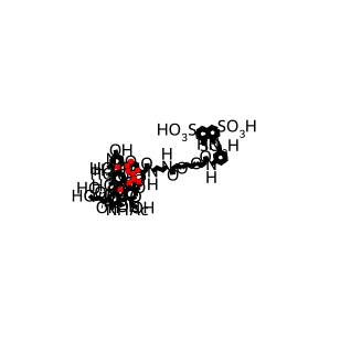 CC(=O)NC1C(O)CC(OC2C(O)C(CO)OC(OC3CC(C(=O)NCCNC(=O)COCCOCC(=O)Nc4cccc(CNc5cc(S(=O)(=O)O)cc6cc(S(=O)(=O)O)cc(S(=O)(=O)O)c56)c4)CC(NC(=O)c4cc(O)nc(O)n4)C3OC3OC(C)C(O)C(O)C3O)C2OC(=O)c2ccccc2)(C(=O)O)OC1[C@H](O)[C@H](O)CO